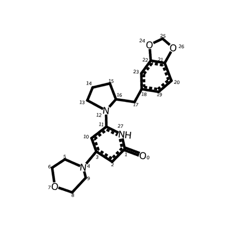 O=c1cc(N2CCOCC2)cc(N2CCCC2Cc2ccc3c(c2)OCO3)[nH]1